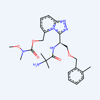 CON(C)C(=O)OCc1cccc2nnc([C@@H](COCc3ccccc3C)NC(=O)C(C)(C)N)n12